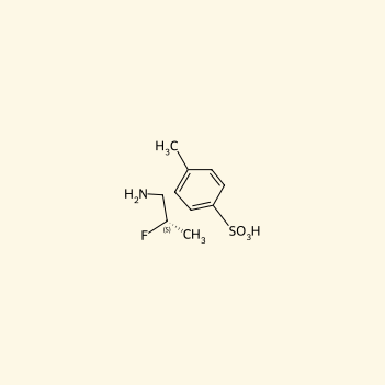 C[C@H](F)CN.Cc1ccc(S(=O)(=O)O)cc1